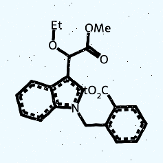 CCOC(=O)c1ccccc1Cn1cc(C(OCC)C(=O)OC)c2ccccc21